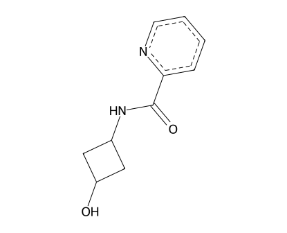 O=C(NC1CC(O)C1)c1ccccn1